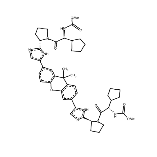 COC(=O)N[C@H](C(=O)N1CCC[C@H]1c1ncc(-c2ccc3c(c2)Oc2ccc(-c4cnc([C@@H]5CCCN5C(=O)[C@@H](NC(=O)OC)C5CCCC5)[nH]4)cc2C3(C)C)[nH]1)C1CCCC1